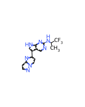 CC(Nc1ncc2c(-c3ccn4nccc4n3)c[nH]c2n1)C(F)(F)F